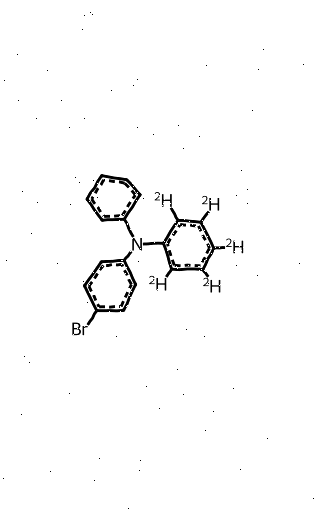 [2H]c1c([2H])c([2H])c(N(c2ccccc2)c2ccc(Br)cc2)c([2H])c1[2H]